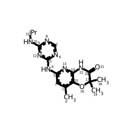 Cc1cc(Nc2ncnc(NC(C)C)n2)nc2c1OC(C)(C)C(=O)N2